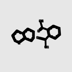 O=C(O)c1ccccc1C(=O)O.c1ccc2ncccc2c1